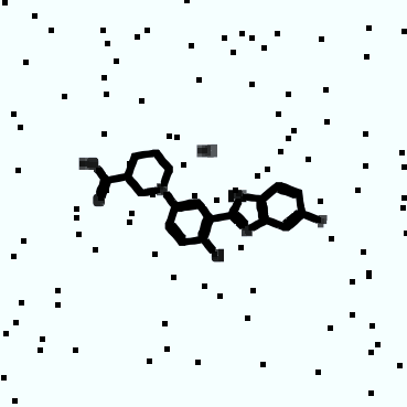 Cl.O=C(O)C1CCCN(c2ccc(Cl)c(-c3nc4cc(F)ccc4[nH]3)c2)C1